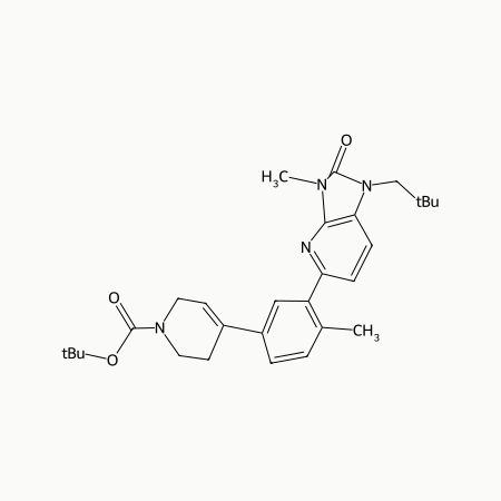 Cc1ccc(C2=CCN(C(=O)OC(C)(C)C)CC2)cc1-c1ccc2c(n1)n(C)c(=O)n2CC(C)(C)C